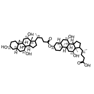 C[C@H](CCC(=O)O[C@@H]1CC[C@@]2(C)[C@@H](C1)C[C@H](O)[C@@H]1[C@@H]2C[C@H](O)[C@]2(C)C([C@H](C)CCC(=O)O)CC[C@@H]12)C1CC[C@H]2[C@@H]3[C@H](O)C[C@@H]4C[C@H](O)CC[C@]4(C)[C@H]3C[C@H](O)[C@]12C